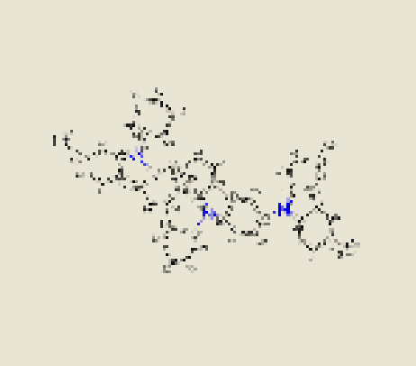 CCc1ccc2c(c1)c1cc(C)ccc1n2-c1ccc2c(c1)c1ccccc1n2-c1ccccc1-c1ccc2c(c1)c1ccc(CC)cc1n2-c1ccccc1